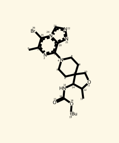 Cc1nc(N2CCC3(CC2)COC(C)C3NC(=O)OC(C)(C)C)c2nncn2c1Br